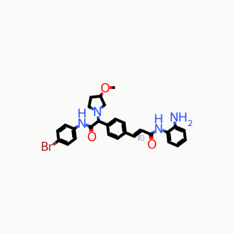 COC1CCN(C(C(=O)Nc2ccc(Br)cc2)c2ccc(/C=C/C(=O)Nc3ccccc3N)cc2)C1